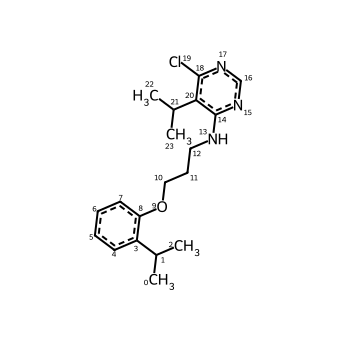 CC(C)c1ccccc1OCCCNc1ncnc(Cl)c1C(C)C